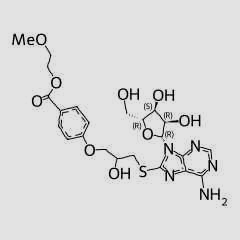 COCCOC(=O)c1ccc(OCC(O)CSc2nc3c(N)ncnc3n2[C@@H]2O[C@H](CO)[C@@H](O)[C@H]2O)cc1